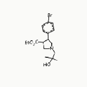 CCOC(=O)C1CN(CC(C)(C)O)CC1c1ccc(Br)cc1